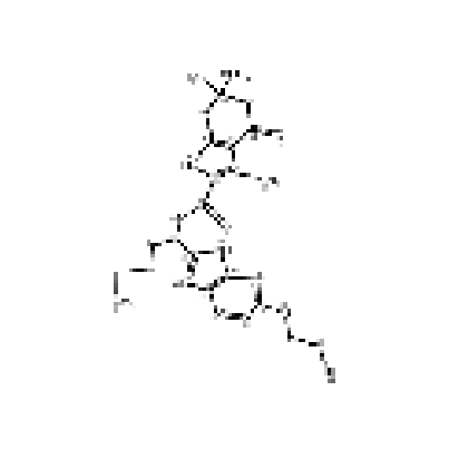 CCCCC(NC(=O)c1[nH]c2c(c1C)C(=O)CC(C)(C)C2)c1nc2ccc(OCCBr)cc2[nH]1